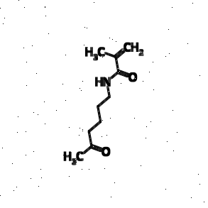 C=C(C)C(=O)NCCCCC(C)=O